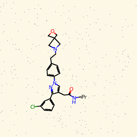 CC(C)NC(=O)Cc1cn(-c2ccc(CCN3CC4(COC4)C3)cc2)nc1-c1cccc(Cl)c1